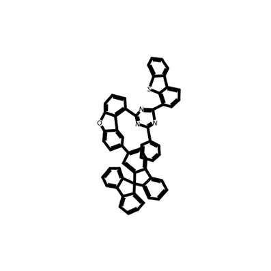 c1ccc(-c2nc(-c3cccc4c3sc3ccccc34)nc(-c3cccc4oc5ccc(-c6ccc7c(c6)C6(c8ccccc8-c8ccccc86)c6ccccc6-7)cc5c34)n2)cc1